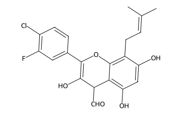 CC(C)=CCc1c(O)cc(O)c2c1OC(c1ccc(Cl)c(F)c1)=C(O)C2C=O